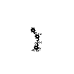 COc1cc(CCNC(=O)Cc2ccc(OC)c(OC)c2Br)ccc1OCc1ccccc1